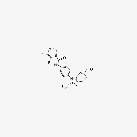 O=C(Nc1ccc(-n2c(C(F)(F)F)nc3ccc(CO)cc32)cc1)c1cccc(F)c1F